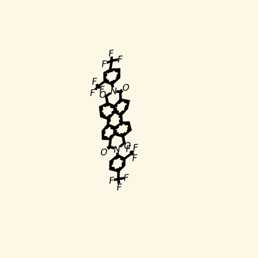 O=C1c2ccc3c4ccc5c6c(ccc(c7ccc(c2c37)C(=O)N1c1ccc(C(F)(F)F)cc1C(F)(F)F)c64)C(=O)N(c1ccc(C(F)(F)F)cc1C(F)(F)F)C5=O